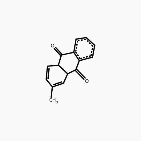 CC1=CC2C(=O)c3ccccc3C(=O)C2C=C1